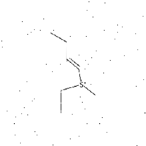 CCC=C[S+](C)CC